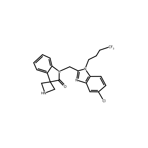 O=C1N(Cc2nc3cc(Cl)ccc3n2CCCC(F)(F)F)c2ccccc2C12CNC2